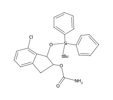 CC(C)(C)[Si](OC1c2c(Cl)cccc2CC1OC(N)=O)(c1ccccc1)c1ccccc1